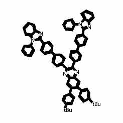 CC(C)(C)c1ccc(-c2cc3nc(-c4ccc(-c5ccc(-c6nc7ccccc7n6-c6ccccc6)cc5)cc4)c(-c4ccc(-c5ccc(-c6nc7ccccc7n6-c6ccccc6)cc5)cc4)nc3cc2-c2ccc(C(C)(C)C)cc2)cc1